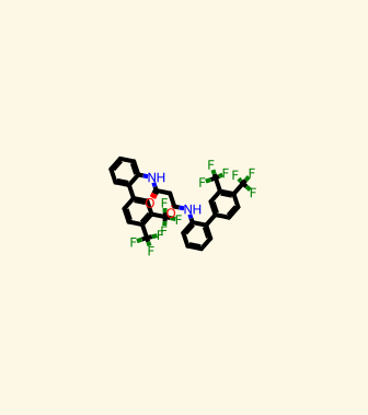 O=C(CC(=O)Nc1ccccc1-c1ccc(C(F)(F)F)c(C(F)(F)F)c1)Nc1ccccc1-c1ccc(C(F)(F)F)c(C(F)(F)F)c1